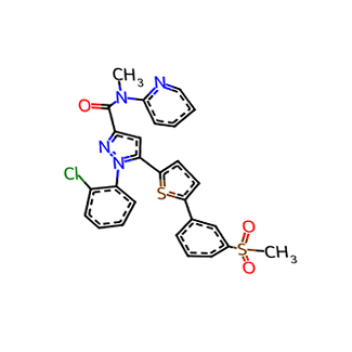 CN(C(=O)c1cc(-c2ccc(-c3cccc(S(C)(=O)=O)c3)s2)n(-c2ccccc2Cl)n1)c1ccccn1